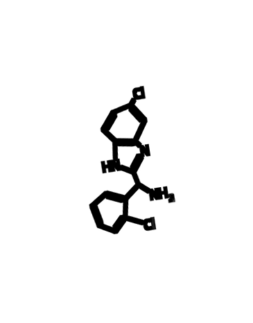 NC(c1nc2cc(Cl)ccc2[nH]1)c1ccccc1Cl